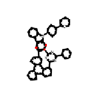 c1ccc(-c2ccc(-n3c4ccccc4c4cc(-c5ccc6c7ccccc7c7cccc(-c8nc(-c9ccccc9)nc(-c9ccccc9)n8)c7c6c5)ccc43)cc2)cc1